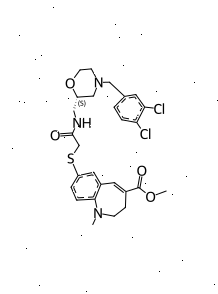 COC(=O)C1=Cc2cc(SCC(=O)NC[C@H]3CN(Cc4ccc(Cl)c(Cl)c4)CCO3)ccc2N(C)CC1